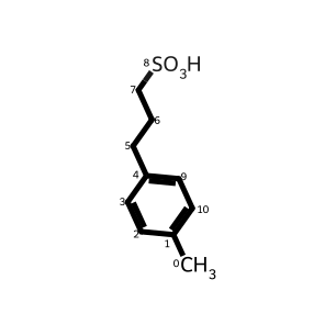 Cc1ccc(CCCS(=O)(=O)O)cc1